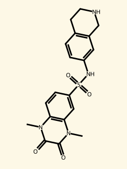 Cn1c(=O)c(=O)n(C)c2cc(S(=O)(=O)Nc3ccc4c(c3)CNCC4)ccc21